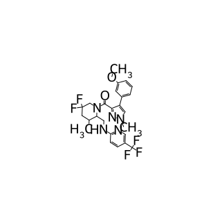 COc1cccc(-c2cn(C)nc2C(=O)N2CC(F)(F)CC(C)C2CNc2ccc(C(F)(F)F)cn2)c1